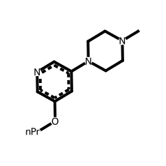 CCCOc1cncc(N2CCN(C)CC2)c1